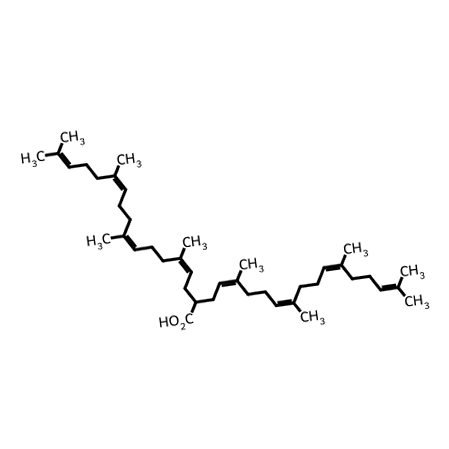 CC(C)=CCCC(C)=CCCC(C)=CCCC(C)=CCC(CC=C(C)CCC=C(C)CCC=C(C)CCC=C(C)C)C(=O)O